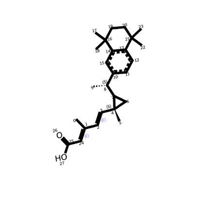 CC(/C=C/[C@@]1(C)CC1[C@H](C)c1ccc2c(c1)C(C)(C)CCC2(C)C)=C\C(=O)O